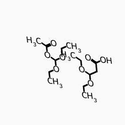 CCOC(CC(=O)O)OCC.CCOC(OCC)OC(C)=O